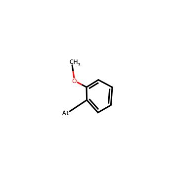 COc1ccccc1[At]